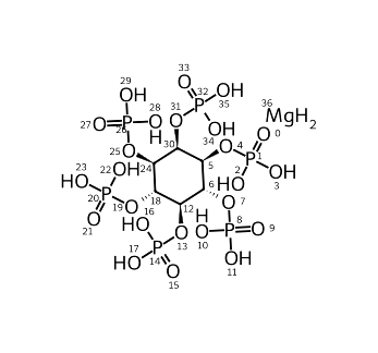 O=P(O)(O)O[C@H]1[C@H](OP(=O)(O)O)[C@@H](OP(=O)(O)O)[C@H](OP(=O)(O)O)[C@@H](OP(=O)(O)O)[C@H]1OP(=O)(O)O.[MgH2]